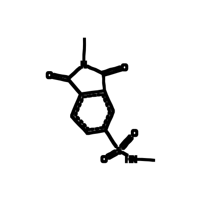 CNS(=O)(=O)c1ccc2c(c1)C(=O)N(C)C2=O